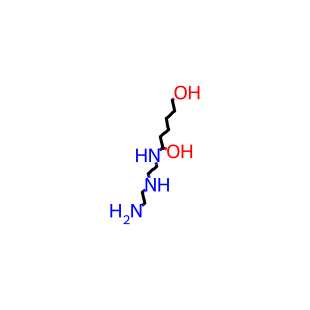 NCCNCCNC(O)CCCCCO